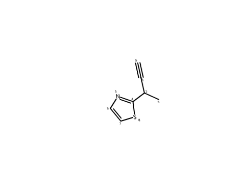 C#CC(C)c1nccs1